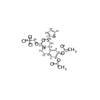 CC(=O)Oc1cc2c(cc1OC(C)=O)C(CSc1cccs1)N(C(=O)OCC(Cl)(Cl)Cl)CC2